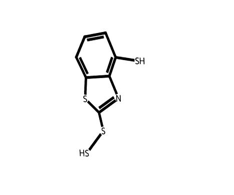 SSc1nc2c(S)cccc2s1